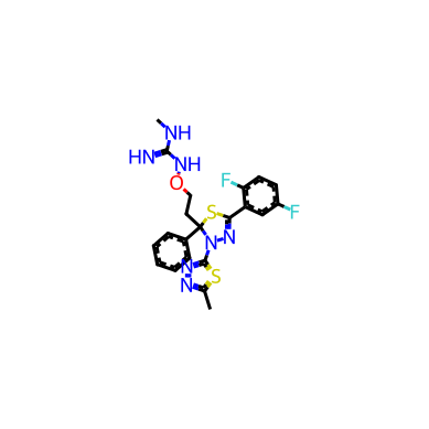 CNC(=N)NOCCC1(c2ccccc2)SC(c2cc(F)ccc2F)=NN1c1nnc(C)s1